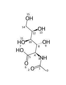 CC(=O)N[C@@H](C(=O)O)[C@@H](O)[C@@H](O)[C@H](O)CO